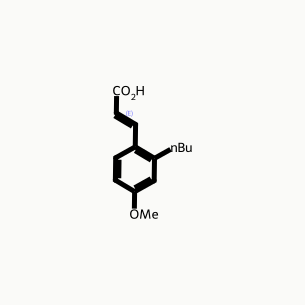 CCCCc1cc(OC)ccc1/C=C/C(=O)O